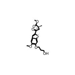 COC(=O)[C@@H](C)CC(=O)c1cc2cc(OC)c(OCCCO)cc2s1